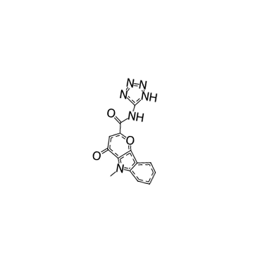 Cn1c2ccccc2c2oc(C(=O)Nc3nnn[nH]3)cc(=O)c21